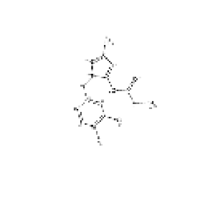 CCC(=O)Oc1cc(C)nn1Cc1ccc(Cl)c(Cl)c1